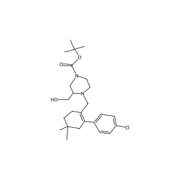 CC1(C)CCC(CN2CCN(C(=O)OC(C)(C)C)CC2CO)=C(c2ccc(Cl)cc2)C1